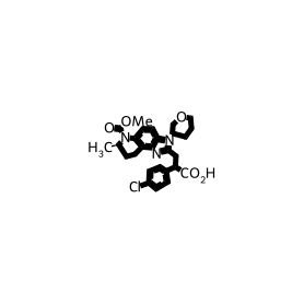 COC(=O)N1c2ccc3c(nc(CC(C(=O)O)c4ccc(Cl)cc4)n3C3CCCOC3)c2CC[C@@H]1C